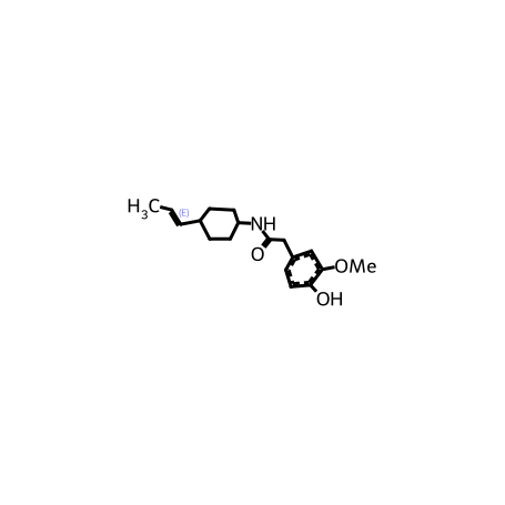 C/C=C/C1CCC(NC(=O)Cc2ccc(O)c(OC)c2)CC1